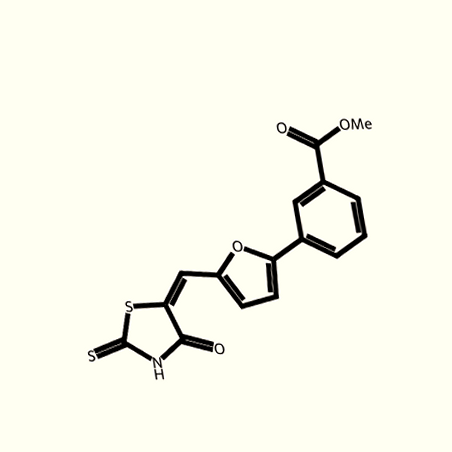 COC(=O)c1cccc(-c2ccc(/C=C3/SC(=S)NC3=O)o2)c1